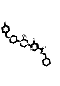 C[C@H]1CN(c2ncc(C(=O)NCC3CCCCC3)cc2Cl)CCN1C1CCN(Cc2ccc(Cl)cc2)CC1